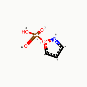 O=S(=O)(O)[o+]1cccn1